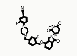 N#Cc1ccc(N2CCN(Cc3ccc(COc4cccc5c4CN([C@H]4CCC(=O)NC4=O)C5=O)c(F)c3)CC2)c(F)c1